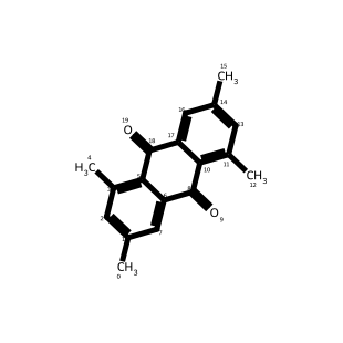 Cc1cc(C)c2c(c1)C(=O)c1c(C)cc(C)cc1C2=O